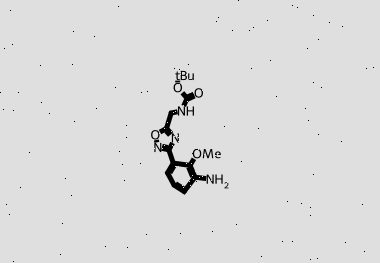 COc1c(N)cccc1-c1noc(CNC(=O)OC(C)(C)C)n1